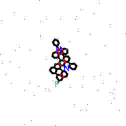 Fc1cccc(-c2cccc3cccc(-c4ccccc4N(c4ccc(-c5cccc6c5c5ccccc5n6-c5ccccc5)cc4)c4ccccc4-c4ccc(-c5ccccc5)cc4)c23)c1